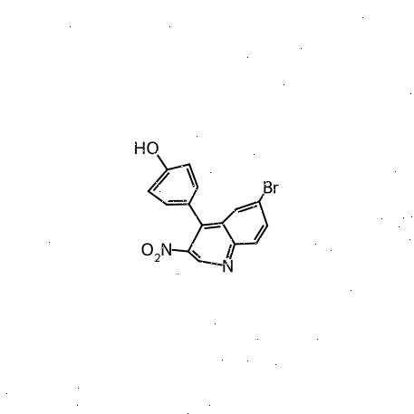 O=[N+]([O-])c1cnc2ccc(Br)cc2c1-c1ccc(O)cc1